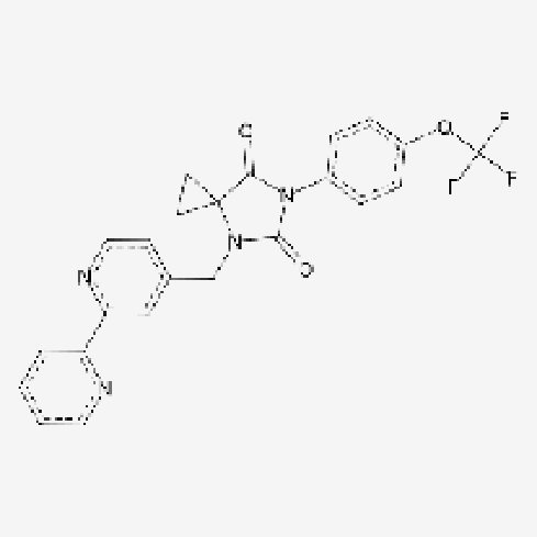 O=C1N(c2ccc(OC(F)(F)F)cc2)C(=O)C2(CC2)N1Cc1ccnc(-c2ccccn2)c1